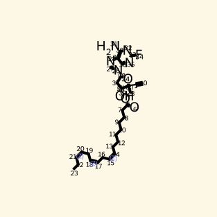 C#C[C@]1(COC(=O)CCCCCCC/C=C\C/C=C\C/C=C\CC)O[C@@H](n2cnc3c(N)nc(F)nc32)C[C@@H]1O